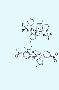 CC1=C(C)[C](C)([Zr]([O]c2ccc([N+](=O)[O-])cc2)([O]c2ccc([N+](=O)[O-])cc2)[C]2(C)C=CC(C)=C2C)C=C1.CC1=C[C](C)([Zr]([O]c2ccccc2C(F)(F)F)([O]c2ccccc2C(F)(F)F)[C]2(C)C=C(C)C=C2C)C(C)=C1